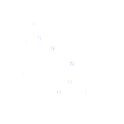 CCCCOc1ccc(CC(C(=O)C(Cc2ccc(OCCCC)cc2)N2CCN(c3ncccc3Cl)CC2)N2CCN(c3ncccc3Cl)CC2)cc1